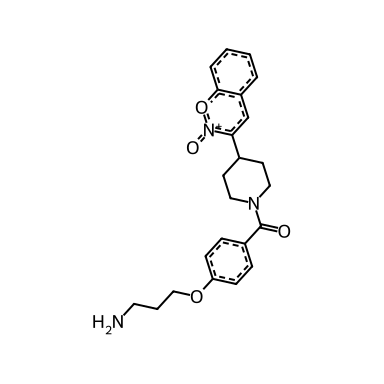 NCCCOc1ccc(C(=O)N2CCC(c3cc4ccccc4o[n+]3=O)CC2)cc1